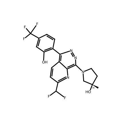 C[C@]1(O)CCN(c2nnc(-c3ccc(C(F)(F)F)cc3O)c3ccc(C(F)F)nc23)C1